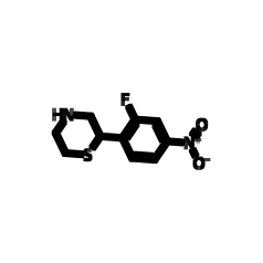 O=[N+]([O-])c1ccc(C2CNCCS2)c(F)c1